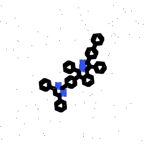 c1ccc(-c2ccc(-c3nn4c(-c5ccccc5)c(-c5ccc(-c6nc(-c7ccccc7)cc(-c7ccccc7)n6)cc5)c5ccccc5c4c3-c3ccccc3)cc2)cc1